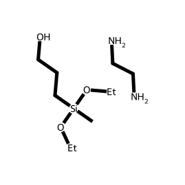 CCO[Si](C)(CCCO)OCC.NCCN